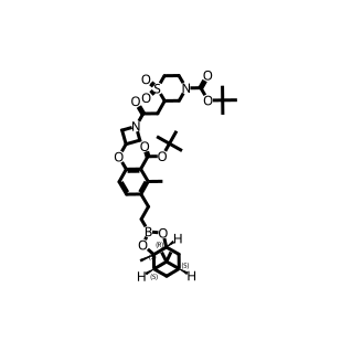 Cc1c(CCB2O[C@@H]3C[C@@H]4C[C@@H](C4(C)C)[C@]3(C)O2)ccc(OC2CN(C(=O)CC3CN(C(=O)OC(C)(C)C)CCS3(=O)=O)C2)c1C(=O)OC(C)(C)C